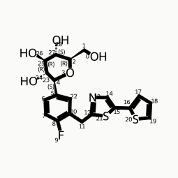 OC[C@H]1O[C@@H](c2ccc(F)c(Cc3ncc(-c4cccs4)s3)c2)[C@H](O)[C@@H](O)[C@@H]1O